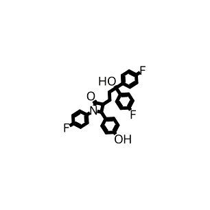 O=C1C(CCC(O)(c2ccc(F)cc2)c2ccc(F)cc2)C(c2ccc(O)cc2)N1c1ccc(F)cc1